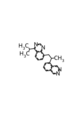 CC(C)c1ncnc2c(CC(C)c3cccc4cnncc34)cccc12